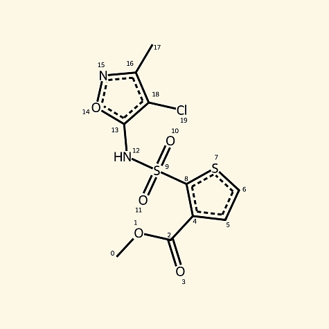 COC(=O)c1ccsc1S(=O)(=O)Nc1onc(C)c1Cl